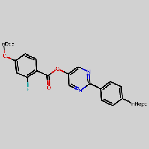 CCCCCCCCCCOc1ccc(C(=O)Oc2cnc(-c3ccc(CCCCCCC)cc3)nc2)c(F)c1